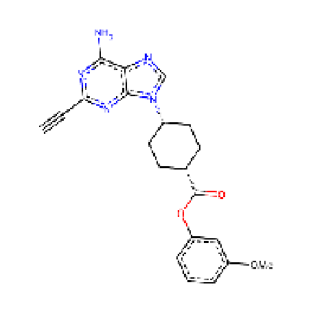 C#Cc1nc(N)c2ncn([C@H]3CC[C@@H](C(=O)Oc4cccc(OC)c4)CC3)c2n1